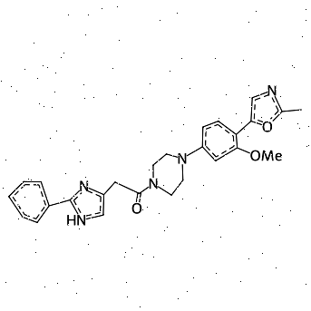 COc1cc(N2CCN(C(=O)Cc3c[nH]c(-c4ccccc4)n3)CC2)ccc1-c1cnc(C)o1